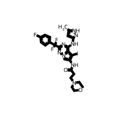 Cc1cc(Nc2nc(C(F)(F)c3ccc(F)cc3)nn3cc(NC(=O)CCN4CCOCC4)c(I)c23)n[nH]1